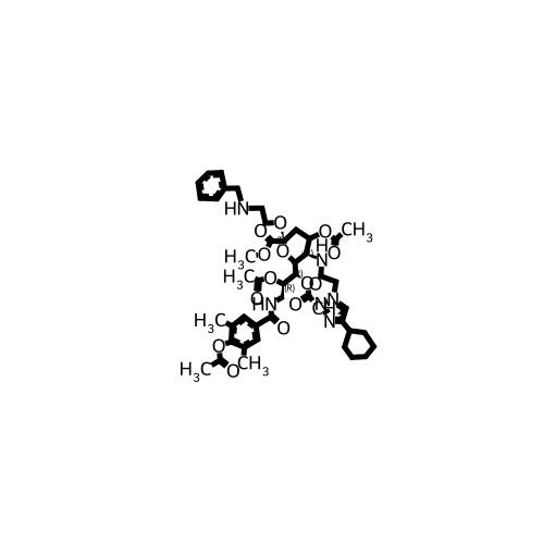 COC(=O)[C@@]1(OCCNCc2ccccc2)CC(OC(C)=O)[C@@H](NC(=O)Cn2cc(C3CCCCC3)nn2)C([C@H](OC(C)=O)[C@@H](CNC(=O)c2cc(C)c(OC(C)=O)c(C)c2)OC(C)=O)O1